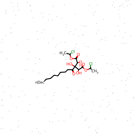 CCCCCCCCCCCCCCCCCC(=O)C(O)(C(O)C(=O)OC(C)Cl)C(O)C(=O)OC(C)Cl